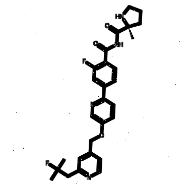 CC(C)(F)Cc1cc(COc2ccc(-c3ccc(C(=O)NC(=O)[C@]4(C)CCCN4)c(F)c3)nc2)ccn1